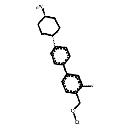 CCC[C@H]1CC[C@H](c2ccc(-c3ccc(COCC)c(F)c3)cc2)CC1